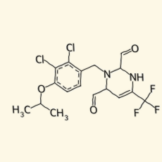 CC(C)Oc1ccc(CN2C(C=O)C=C(C(F)(F)F)NC2C=O)c(Cl)c1Cl